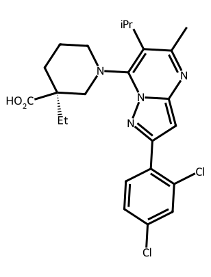 CC[C@]1(C(=O)O)CCCN(c2c(C(C)C)c(C)nc3cc(-c4ccc(Cl)cc4Cl)nn23)C1